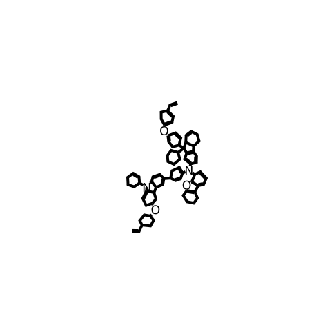 C=CC1=CC=C(OC2=CCC(C3(C4CCCCC4)c4cc(N(C5=CCC(C6=CC7C8CC(OC9CCC(C=C)CC9)CC=C8N(C8C=CCCC8)C7C=C6)C=C5)C5C=CC=C6C7=C(CCCC7)OC65)ccc4C4CCC=CC43)C=C2)CC1